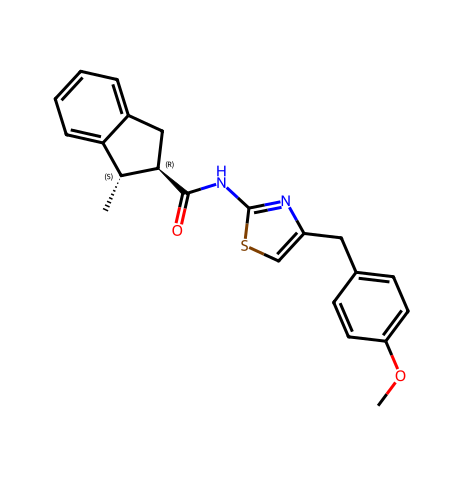 COc1ccc(Cc2csc(NC(=O)[C@@H]3Cc4ccccc4[C@H]3C)n2)cc1